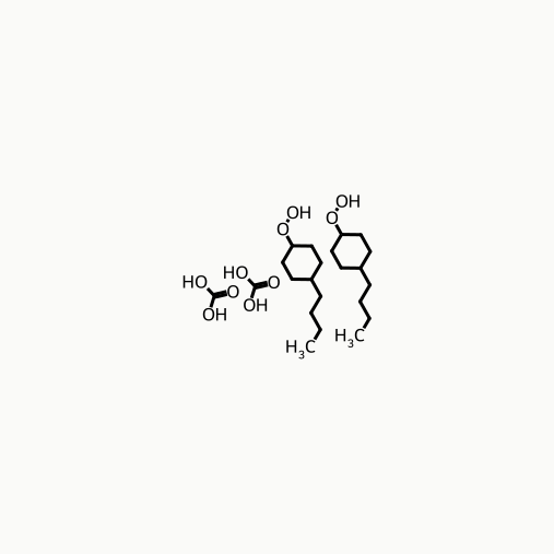 CCCCC1CCC(OO)CC1.CCCCC1CCC(OO)CC1.O=C(O)O.O=C(O)O